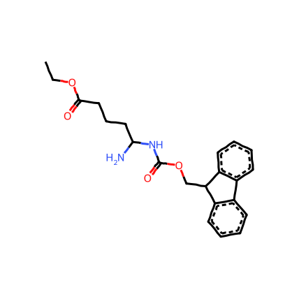 CCOC(=O)CCCC(N)NC(=O)OCC1c2ccccc2-c2ccccc21